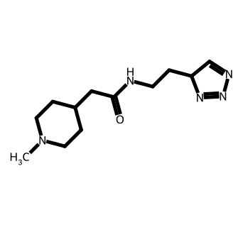 CN1CCC(CC(=O)NCCC2C=NN=N2)CC1